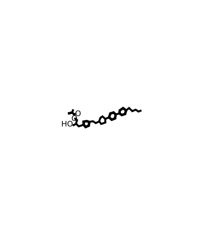 C=C(C)C(=O)OCC(CO)Cc1ccc(CCC2CCC(c3ccc(-c4ccc(CCCCC)cc4)cc3)CC2)cc1